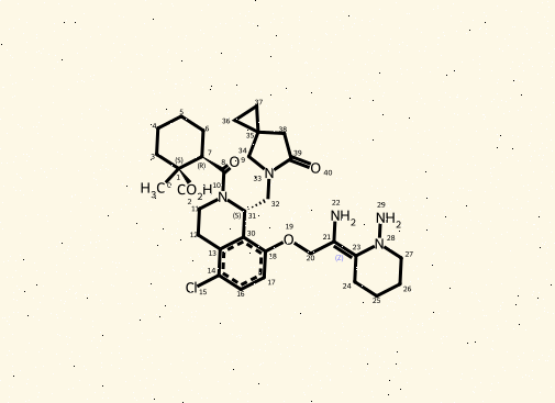 C[C@]1(C(=O)O)CCCC[C@H]1C(=O)N1CCc2c(Cl)ccc(OC/C(N)=C3\CCCCN3N)c2[C@H]1CN1CC2(CC2)CC1=O